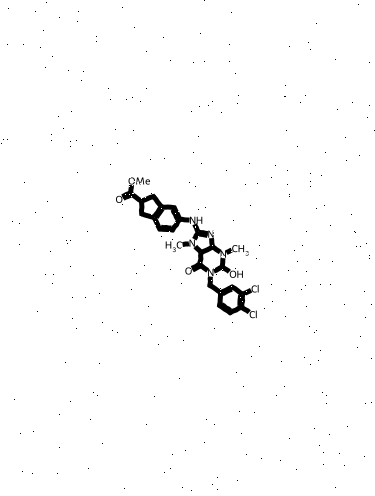 COC(=O)C1Cc2ccc(NC3=NC4C(C(=O)N(Cc5ccc(Cl)c(Cl)c5)C(O)N4C)N3C)cc2C1